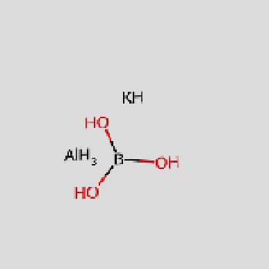 OB(O)O.[AlH3].[KH]